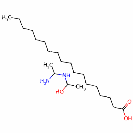 CC(N)NC(C)O.CCCCCCCCCCCCCCCCCC(=O)O